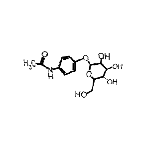 CC(=O)Nc1ccc(O[C@@H]2OC(CO)[C@@H](O)[C@H](O)C2O)cc1